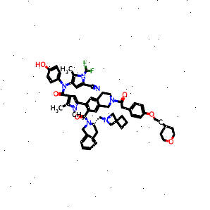 Cc1c(C(=O)N(c2ccc(O)cc2)c2cc(C#N)n(C(F)F)c2C)cc(-c2cc3c(cc2C(=O)N2Cc4ccccc4C[C@H]2CN2CC4(CCC4)C2)CN(C(=O)Cc2ccc(OCCC4CCOCC4)cc2)CC3)n1C